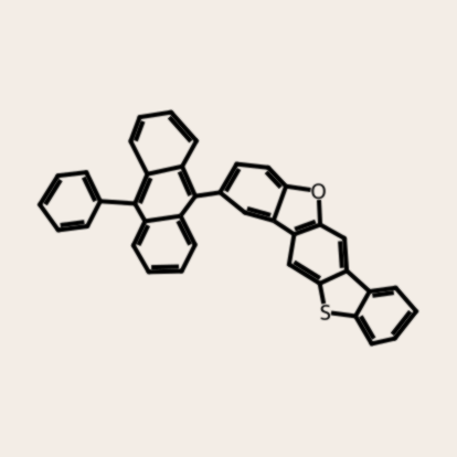 c1ccc(-c2c3ccccc3c(-c3ccc4oc5cc6c(cc5c4c3)sc3ccccc36)c3ccccc23)cc1